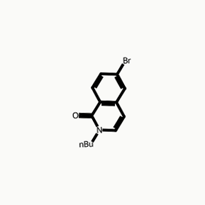 CCCCn1ccc2cc(Br)ccc2c1=O